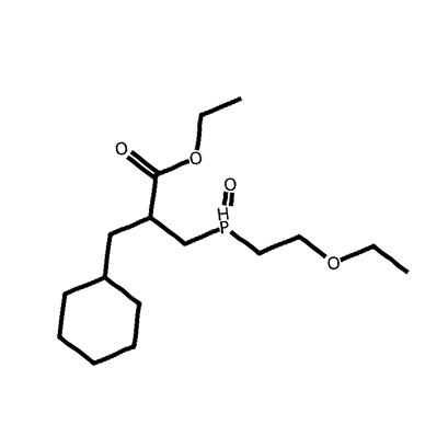 CCOCC[PH](=O)CC(CC1CCCCC1)C(=O)OCC